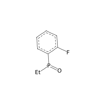 CC[P](=O)c1ccccc1F